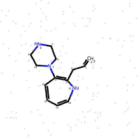 C=CCC1=C(N2CCNCC2)C=CC=CN1